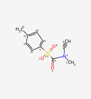 C#CN(C)C(=O)S(=O)(=O)c1ccc(C)cc1